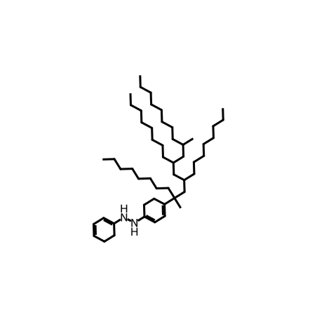 CCCCCCCCC(C)CC(CCCCCCCC)CC(CCCCCCCC)CC(C)(CCCCCCCC)C1=CC=C(NNC2=CC=CCC2)CC1